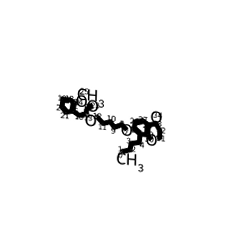 CCCCCc1c(OCCCCCOC(Cc2ccccc2)C(=O)OC)ccc2c1OCCC2=O